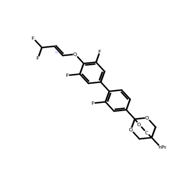 CCCC12COC(c3ccc(-c4cc(F)c(O/C=C/C(F)F)c(F)c4)c(F)c3)(OC1)OC2